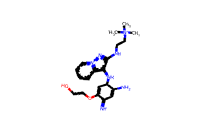 C[N+](C)(C)CCNc1nn2ccccc2c1NC1C=C(OCCO)C(=N)C=C1N